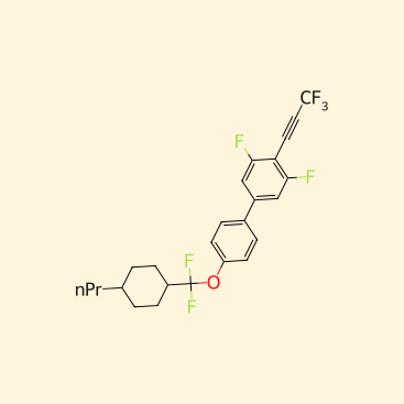 CCCC1CCC(C(F)(F)Oc2ccc(-c3cc(F)c(C#CC(F)(F)F)c(F)c3)cc2)CC1